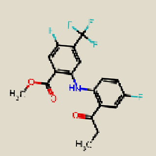 CCC(=O)c1cc(F)ccc1Nc1cc(C(F)(F)F)c(F)cc1C(=O)OC